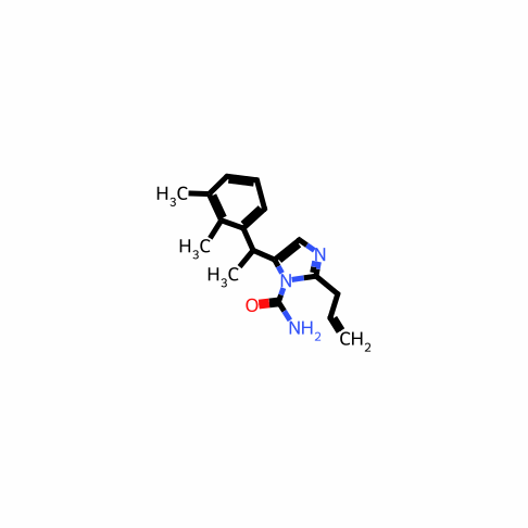 C=CCc1ncc(C(C)c2cccc(C)c2C)n1C(N)=O